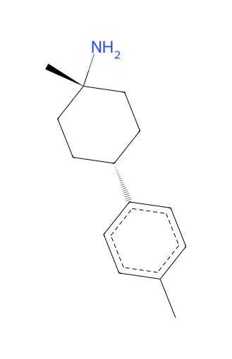 Cc1ccc([C@H]2CC[C@@](C)(N)CC2)cc1